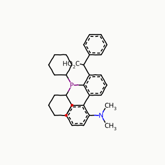 CN(C)c1ccccc1-c1cccc(C(C(=O)O)c2ccccc2)c1P(C1CCCCC1)C1CCCCC1